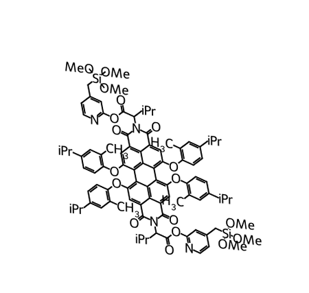 CO[Si](Cc1ccnc(OC(=O)C(C(C)C)N2C(=O)c3cc(Oc4ccc(C(C)C)cc4C)c4c5c(Oc6ccc(C(C)C)cc6C)cc6c7c(cc(Oc8ccc(C(C)C)cc8C)c(c8c(Oc9ccc(C(C)C)cc9C)cc(c3c48)C2=O)c75)C(=O)N(C(C(=O)Oc2cc(C[Si](OC)(OC)OC)ccn2)C(C)C)C6=O)c1)(OC)OC